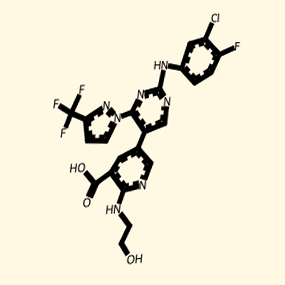 O=C(O)c1cc(-c2cnc(Nc3ccc(F)c(Cl)c3)nc2-n2ccc(C(F)(F)F)n2)cnc1NCCO